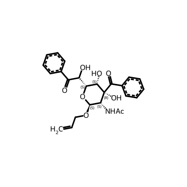 C=CCO[C@H]1O[C@H](C(O)C(=O)c2ccccc2)[C@H](O)[C@@](O)(C(=O)c2ccccc2)[C@@H]1NC(C)=O